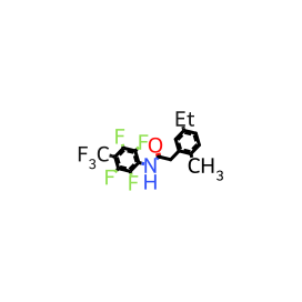 CCc1ccc(C)c(CC(=O)Nc2c(F)c(F)c(C(F)(F)F)c(F)c2F)c1